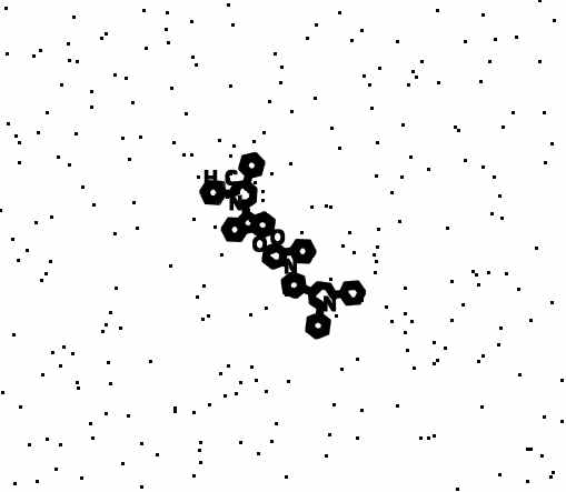 CC1=C(c2ccccc2)N=C(C2c3ccccc3-c3c2ccc2c3OC3=C(O2)C2c4ccccc4N(c4cccc(C5=CCC(C6=CCCC=C6)=NC(c6ccccc6)=C5)c4)C2C=C3)CC=C1c1ccccc1